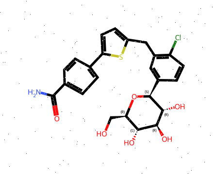 NC(=O)c1ccc(-c2ccc(Cc3cc([C@@H]4O[C@H](CO)[C@@H](O)[C@H](O)[C@H]4O)ccc3Cl)s2)cc1